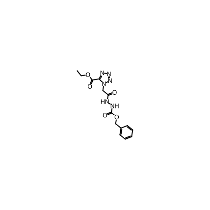 CCOC(=O)c1nnnn1CC(=O)NNC(=O)OCc1ccccc1